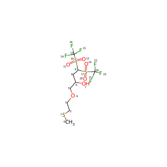 CSCCOCC(O)CC(S(=O)(=O)C(F)(F)F)S(=O)(=O)C(F)(F)F